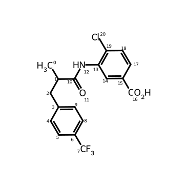 CC(Cc1ccc(C(F)(F)F)cc1)C(=O)Nc1cc(C(=O)O)ccc1Cl